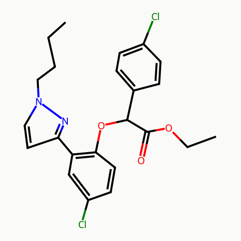 CCCCn1ccc(-c2cc(Cl)ccc2OC(C(=O)OCC)c2ccc(Cl)cc2)n1